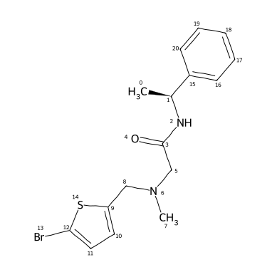 C[C@H](NC(=O)CN(C)Cc1ccc(Br)s1)c1ccccc1